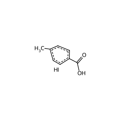 Cc1ccc(C(=O)O)cc1.I